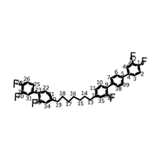 Fc1ccc(-c2ccc(-c3ccc(CCCCCCCc4ccc(-c5ccc(F)c(F)c5)c(F)c4)cc3F)cc2)cc1F